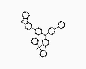 CC1(c2ccccc2)c2ccccc2-c2ccc(N(c3ccc(-c4ccccc4)cc3)c3ccc(-c4ccc5oc6ccccc6c5c4)cc3)cc21